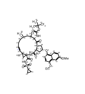 CCOc1cnc(O[C@@H]2C[C@H]3C(=O)N[C@]4(C(=O)NS(=O)(=O)C5CC5)C[C@H]4/C=C\CC[C@@H](C)C[C@@H](CC)[C@H](NC(=O)OC(C)(C)C(F)(F)F)C(=O)N3C2)c2ccc(OC)cc12